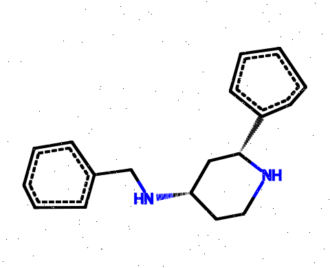 c1ccc(CN[C@H]2CCN[C@@H](c3ccccc3)C2)cc1